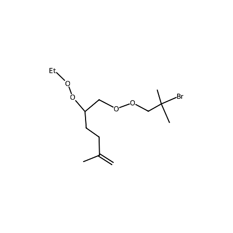 C=C(C)CCC(COOCC(C)(C)Br)OOCC